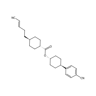 N#CC=CCC[C@H]1CC[C@H](C(=O)O[C@H]2CC[C@H](c3ccc(C#N)cc3)CC2)CC1